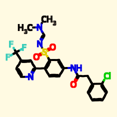 CN(C)/C=N/S(=O)(=O)c1cc(NC(=O)Cc2ccccc2Cl)ccc1-c1cc(C(F)(F)F)ccn1